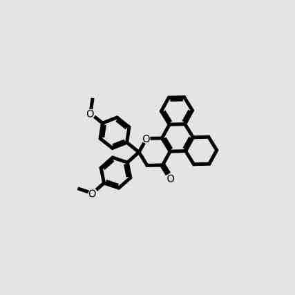 COc1ccc(C2(c3ccc(OC)cc3)CC(=O)c3c4c(c5ccccc5c3O2)CCCC4)cc1